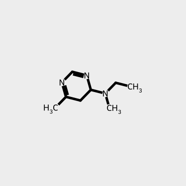 CCN(C)C1CC(C)=NC=N1